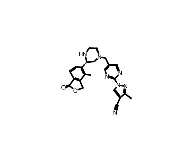 Cc1nn(-c2ncc(CN3CCN[C@H](c4ccc5c(c4C)COC5=O)C3)cn2)cc1C#N